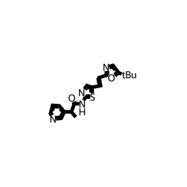 CC(C(=O)Nc1ncc(/C=C/c2ncc(C(C)(C)C)o2)s1)c1cccnc1